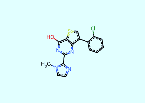 Cn1ccnc1-c1nc(O)c2scc(-c3ccccc3Cl)c2n1